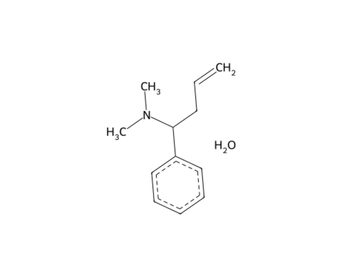 C=CCC(c1ccccc1)N(C)C.O